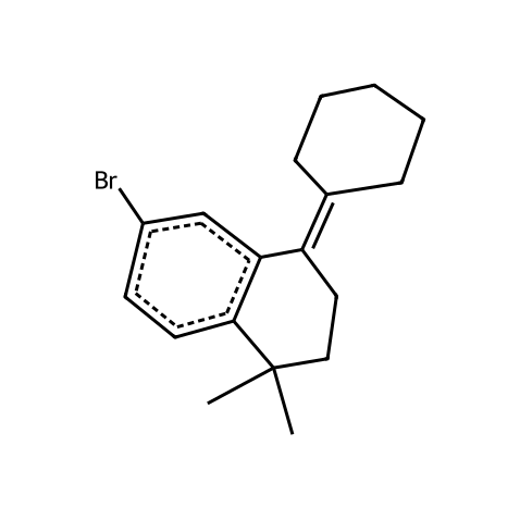 CC1(C)CCC(=C2CCCCC2)c2cc(Br)ccc21